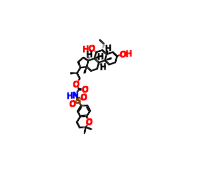 CC[C@H]1[C@@H](O)[C@@H]2[C@H](CC[C@]3(C)[C@@H]([C@H](C)COC(=O)NS(=O)(=O)c4ccc5c(c4)CCC(C)(C)O5)CC[C@@H]23)[C@@]2(C)CC[C@H](O)C[C@@H]12